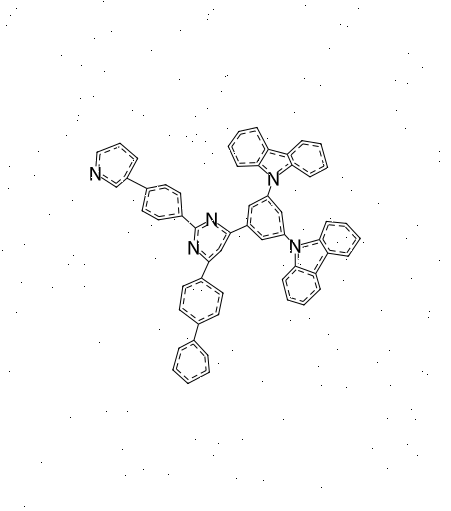 c1ccc(-c2ccc(-c3cc(-c4cc(-n5c6ccccc6c6ccccc65)cc(-n5c6ccccc6c6ccccc65)c4)nc(-c4ccc(-c5cccnc5)cc4)n3)cc2)cc1